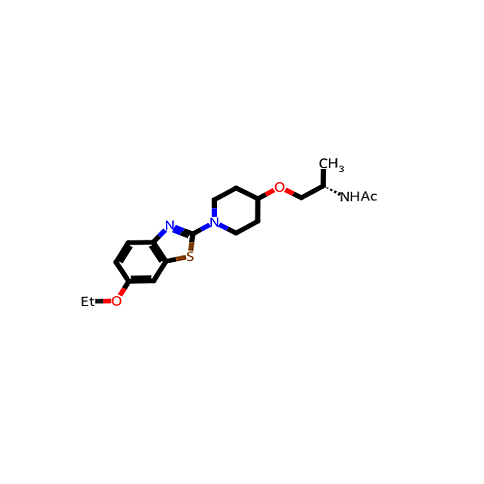 CCOc1ccc2nc(N3CCC(OC[C@H](C)NC(C)=O)CC3)sc2c1